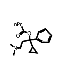 CCCC(=O)OC(CCN(C)C)(c1ccccc1)C1CC1